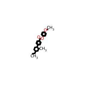 CCCC1CCC(c2ccc(C(=O)Oc3ccc(OCC)cc3)cc2)C(C)C1